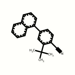 CC(C)(C)c1cc(-c2cccc3ccccc23)ccc1C#N